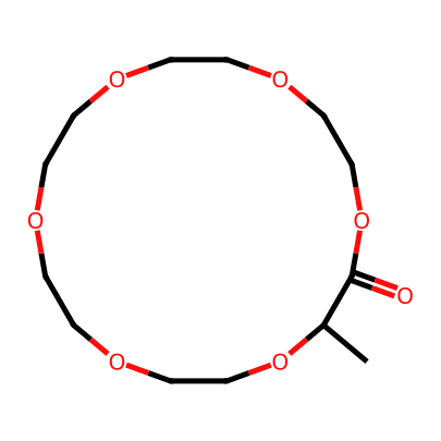 CC1OCCOCCOCCOCCOCCOC1=O